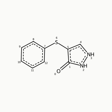 O=c1[nH][nH]cc1Sc1ccccc1